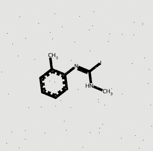 CN/C(I)=N\c1ccccc1C